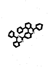 c1ccc(-c2nc(-c3ccc4nc(-c5ccccc5)c5cccc(-c6ccccc6)c5c4c3)nc3ccccc23)cc1